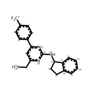 NCc1cc(-c2ccc(C(F)(F)F)cc2)nc(NC2CCc3ccccc32)n1